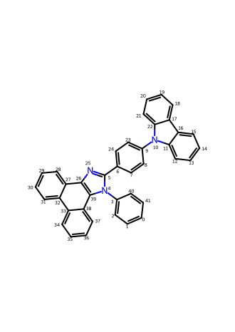 c1ccc(-n2c(-c3ccc(-n4c5ccccc5c5ccccc54)cc3)nc3c4ccccc4c4ccccc4c32)cc1